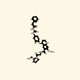 COc1cc2nccc(Oc3ccc(NC(=S)NC(=O)Cc4ccccc4)cc3F)c2cc1C(=O)NCC(=O)N1CCC[C@H]1CO